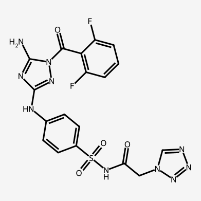 Nc1nc(Nc2ccc(S(=O)(=O)NC(=O)Cn3cnnn3)cc2)nn1C(=O)c1c(F)cccc1F